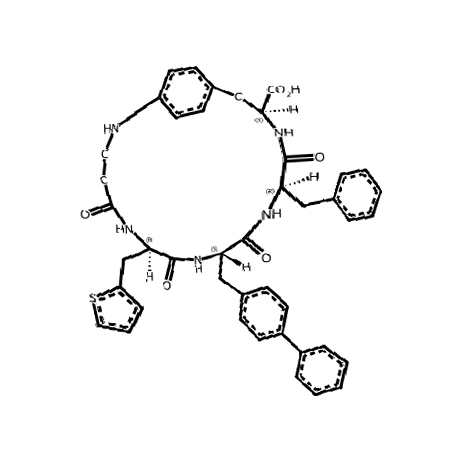 O=C1CCNc2ccc(cc2)C[C@@H](C(=O)O)NC(=O)[C@@H](Cc2ccccc2)NC(=O)[C@H](Cc2ccc(-c3ccccc3)cc2)NC(=O)[C@@H](Cc2cccs2)N1